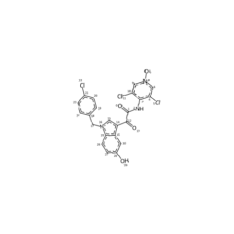 O=C(Nc1c(Cl)c[n+]([O-])cc1Cl)C(=O)c1cn(Cc2ccc(Cl)cc2)c2ccc(O)cc12